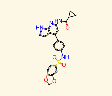 O=C(Nc1cc(-c2ccc(NS(=O)(=O)c3ccc4c(c3)OCO4)cc2)c2cc[nH]c2n1)C1CC1